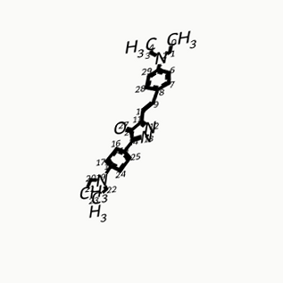 CCN(CC)c1ccc(C=CC2=NN=C(c3ccc(N(CC)CC)cc3)C2=O)cc1